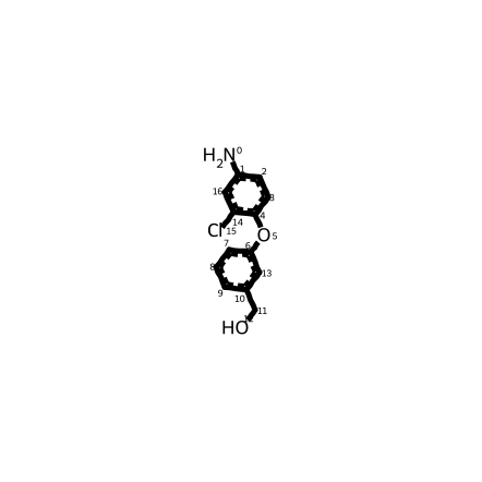 Nc1ccc(Oc2cccc(CO)c2)c(Cl)c1